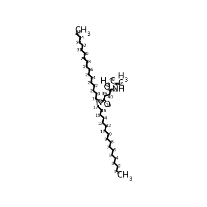 CCCCCCCCCCCCCCCCCCN(CCCCCCCCCCCCCCCCCC)C(=O)CCC(=O)NC(C)C